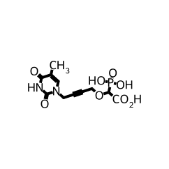 Cc1cn(CC#CCOC(C(=O)O)P(=O)(O)O)c(=O)[nH]c1=O